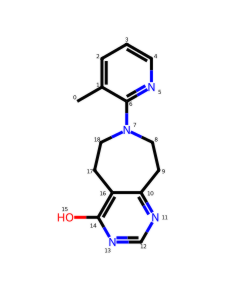 Cc1cccnc1N1CCc2ncnc(O)c2CC1